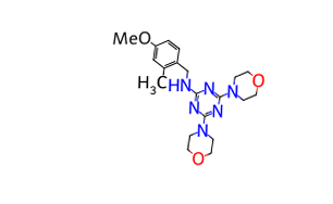 COc1ccc(CNc2nc(N3CCOCC3)nc(N3CCOCC3)n2)c(C)c1